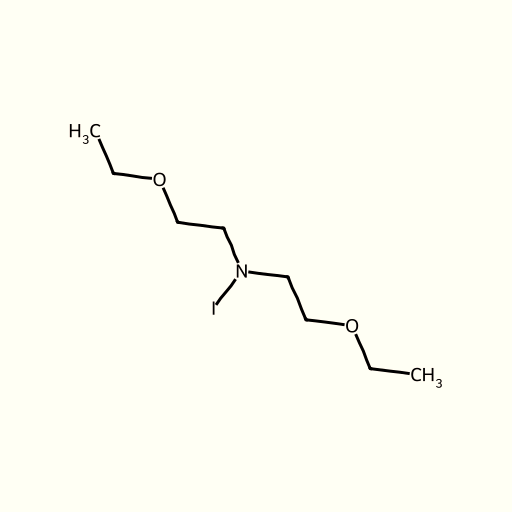 CCOCCN(I)CCOCC